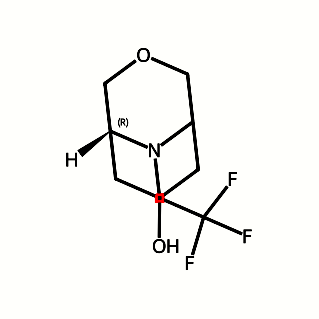 OC1CC2COC[C@@H](C1)N2CC(F)(F)F